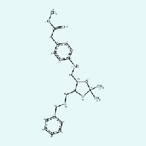 COC(=O)Cc1ccc(NCC2OC(C)(C)OC2COCc2ccccc2)cc1